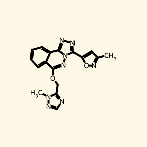 Cc1cc(-c2nnc3c4ccccc4c(OCc4ncnn4C)nn23)on1